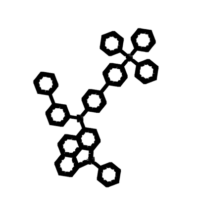 c1ccc(-c2cccc(N(c3ccc(-c4ccc([Si](c5ccccc5)(c5ccccc5)c5ccccc5)cc4)cc3)c3ccc4c5c3ccc3cccc(c35)n4-c3ccccc3)c2)cc1